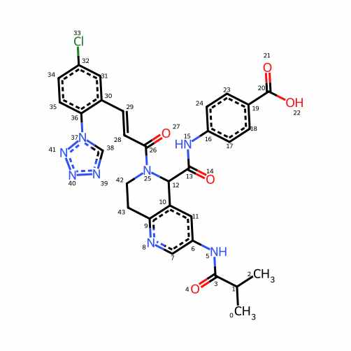 CC(C)C(=O)Nc1cnc2c(c1)C(C(=O)Nc1ccc(C(=O)O)cc1)N(C(=O)/C=C/c1cc(Cl)ccc1-n1cnnn1)CC2